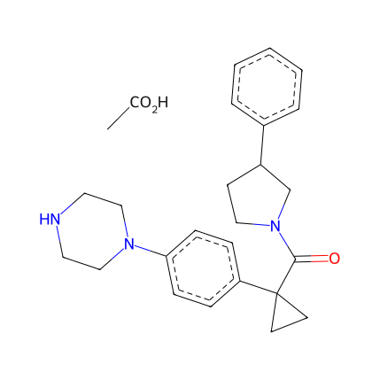 CC(=O)O.O=C(N1CCC(c2ccccc2)C1)C1(c2ccc(N3CCNCC3)cc2)CC1